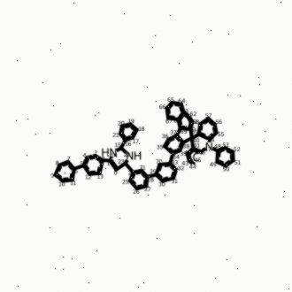 C1=C(c2ccc(-c3ccccc3)cc2)NC(c2ccccc2)NC1c1cccc(-c2cccc(-c3ccc4c(c3)C3(c5ccccc5N(c5ccccc5)c5ccccc53)c3ccc5ccccc5c3-4)c2)c1